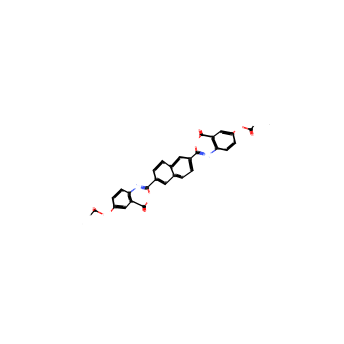 CC(=O)Oc1ccc2nc(-c3ccc4cc(-c5nc6ccc(OC(C)=O)cc6c(=O)o5)ccc4c3)oc(=O)c2c1